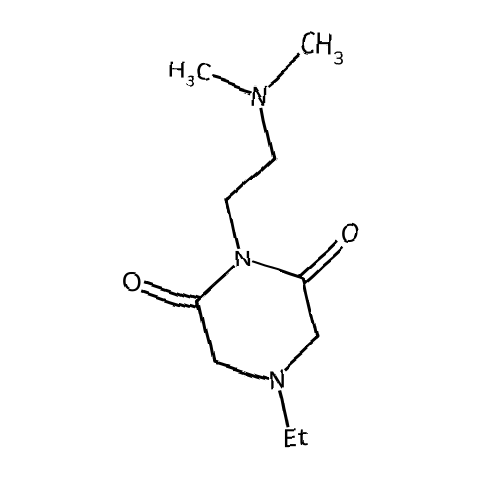 [CH2]CN1CC(=O)N(CCN(C)C)C(=O)C1